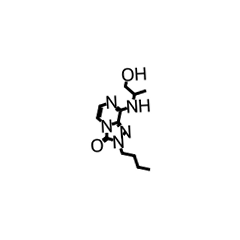 CCCCn1nc2c(NC(C)CO)nccn2c1=O